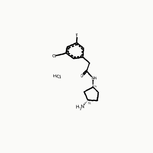 Cl.N[C@H]1CC[C@H](NC(=O)Cc2cc(F)cc(Cl)c2)C1